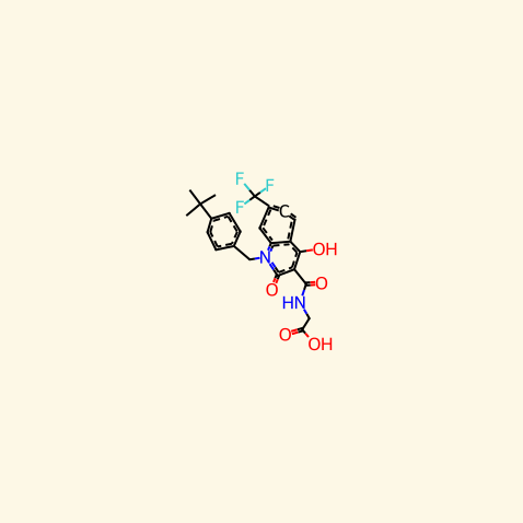 CC(C)(C)c1ccc(Cn2c(=O)c(C(=O)NCC(=O)O)c(O)c3ccc(C(F)(F)F)cc32)cc1